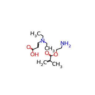 C=C(C)C(=O)OCCN.CCN(C=CC(=O)O)CC